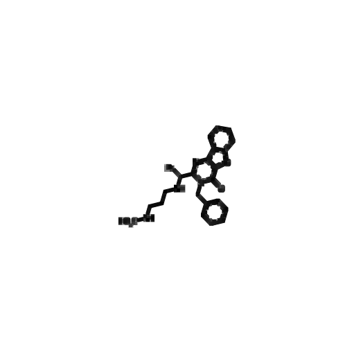 CC(C)C(NCCCNC(=O)O)c1nc2c(oc3ccccc32)c(=O)n1Cc1ccccc1